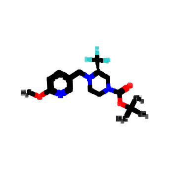 COc1ccc(CN2CCN(C(=O)OC(C)(C)C)C[C@@H]2C(F)(F)F)cn1